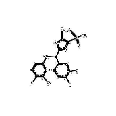 Cc1[nH]c(C(Nc2ccc(F)c(C#N)n2)c2ccc(F)c(Cl)c2)nc1S(C)(=N)=O